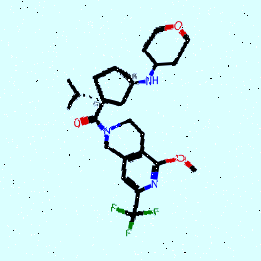 COc1nc(C(F)(F)F)cc2c1CCN(C(=O)[C@@]1(C(C)C)CC[C@@H](NC3CCOCC3)C1)C2